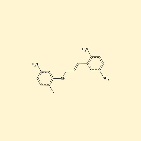 Cc1ccc(N)cc1NCC=Cc1cc(N)ccc1N